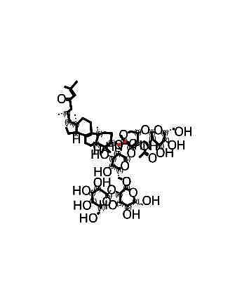 CC(=O)N[C@H]1[C@H](O[C@@H]2CO[C@@H](O[C@H]3CC[C@]4(C)C5=C(CC[C@H]4C3(C)C)[C@@H]3CC[C@H]([C@H](C)CC(=O)C=C(C)C)[C@@]3(C)CC5)[C@H](O[C@@H]3O[C@H](CO[C@@H]4O[C@H](CO)[C@@H](O)[C@H](O)[C@H]4O[C@@H]4O[C@H](CO)[C@@H](O)[C@H](O)[C@H]4O)[C@@H](O)[C@H](O)[C@H]3NC(C)=O)[C@H]2O)O[C@H](CO)[C@H](O)[C@@H]1O